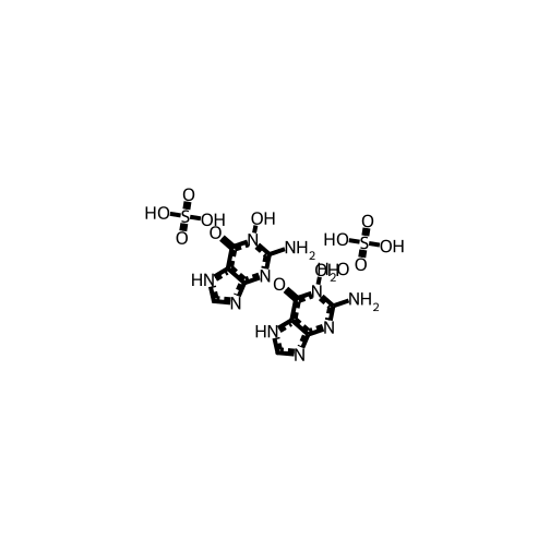 Nc1nc2nc[nH]c2c(=O)n1O.Nc1nc2nc[nH]c2c(=O)n1O.O.O=S(=O)(O)O.O=S(=O)(O)O